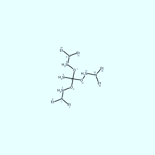 CCN(CC)[SiH2]OC([SiH3])(O[SiH2]N(CC)CC)O[SiH2]N(CC)CC